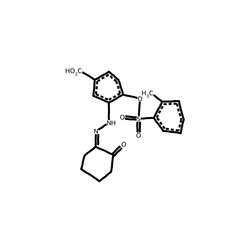 Cc1ccccc1S(=O)(=O)Oc1ccc(C(=O)O)cc1NN=C1CCCCC1=O